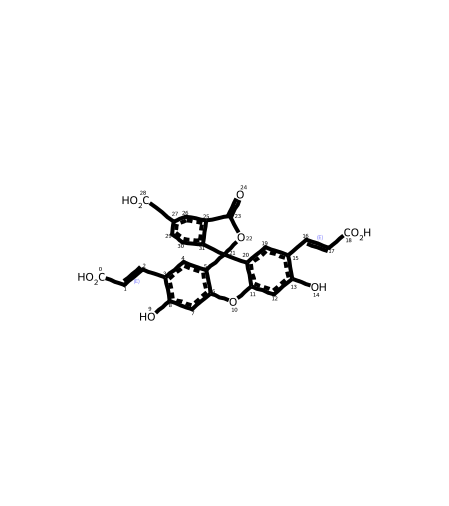 O=C(O)/C=C/c1cc2c(cc1O)Oc1cc(O)c(/C=C/C(=O)O)cc1C21OC(=O)c2cc(C(=O)O)ccc21